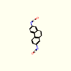 O=C=Nc1ccc2c(ccc3cc(N=C=O)ccc32)c1